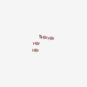 Br.Br.Br.Br.[Ti]